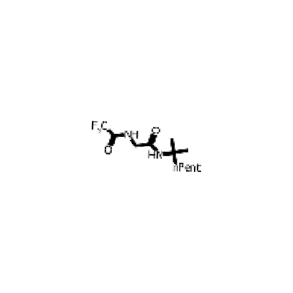 CCCCCC(C)(C)NC(=O)CNC(=O)C(F)(F)F